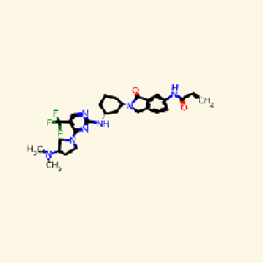 C=CC(=O)Nc1ccc2c(c1)C(=O)N([C@H]1CCC[C@@H](Nc3ncc(C(F)(F)F)c(N4CC[C@@H](N(C)C)C4)n3)C1)C2